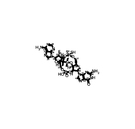 CC(C)(C)[Si](C)(C)O[C@H]1[C@H]2OP(=O)(O)OC[C@H]3O[C@@H](n4cnc5c(N)ncnc54)[C@@H](F)[C@@H]3OP(=S)(S)OC[C@H]1S[C@H]2n1cnc2c(=O)[nH]c(N)nc21